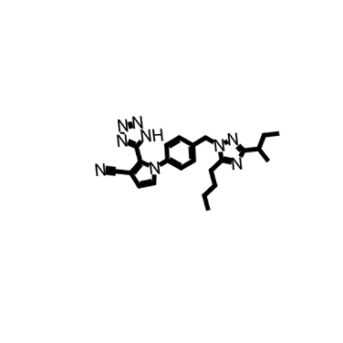 CCCCc1nc(C(C)CC)nn1Cc1ccc(-n2ccc(C#N)c2-c2nnn[nH]2)cc1